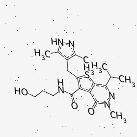 Cc1n[nH]c(C)c1Cc1sc2c(C(C)C)nn(C)c(=O)c2c1C(=O)NCCCO